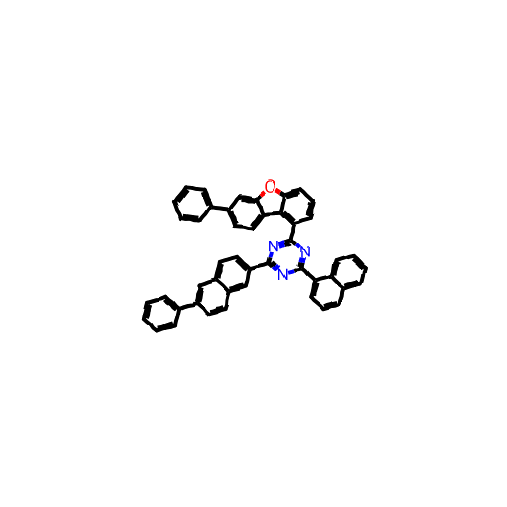 c1ccc(-c2ccc3cc(-c4nc(-c5cccc6ccccc56)nc(-c5cccc6oc7cc(-c8ccccc8)ccc7c56)n4)ccc3c2)cc1